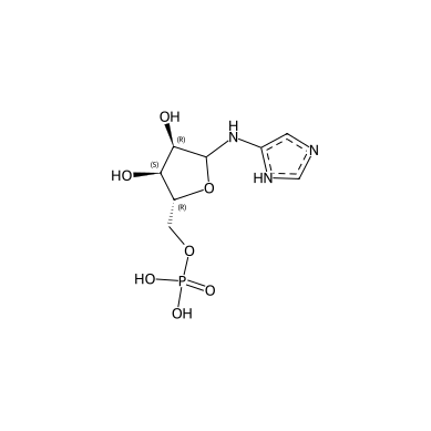 O=P(O)(O)OC[C@H]1OC(Nc2cnc[nH]2)[C@H](O)[C@@H]1O